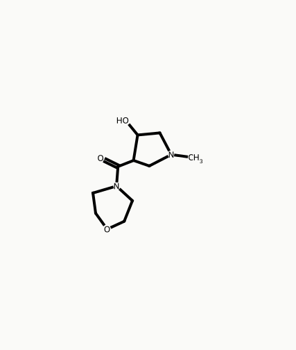 CN1CC(O)C(C(=O)N2CCOCC2)C1